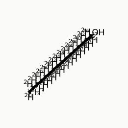 [2H]CC([2H])([2H])C([2H])([2H])C([2H])([2H])C([2H])([2H])C([2H])([2H])C([2H])([2H])C([2H])([2H])C([2H])([2H])C([2H])([2H])C([2H])([2H])C([2H])([2H])C([2H])([2H])C([2H])([2H])C([2H])([2H])C([2H])([2H])O